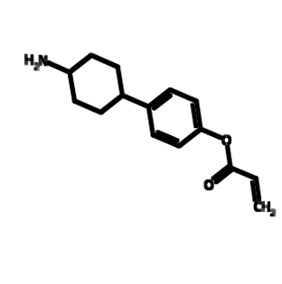 C=CC(=O)Oc1ccc(C2CCC(N)CC2)cc1